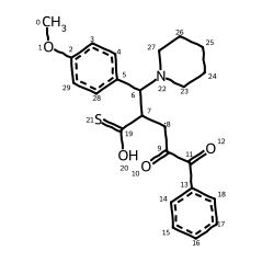 COc1ccc(C(C([CH]C(=O)C(=O)c2ccccc2)C(O)=S)N2CCCCC2)cc1